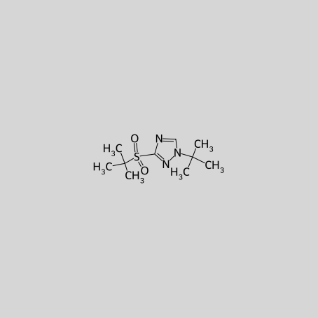 CC(C)(C)n1cnc(S(=O)(=O)C(C)(C)C)n1